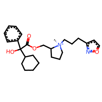 C[N@+]1(CCCc2ccon2)CCCC1COC(=O)C(O)(c1ccccc1)C1CCCCC1